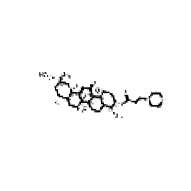 C[C@@H]1C2CC[C@]3(C)C(C(=O)C=C4[C@@H]5C[C@@](C)(C(=O)O)CC[C@]5(C)CC[C@]43C)[C@@]2(C)CC[C@@H]1OC(=O)CCN1CCOCC1